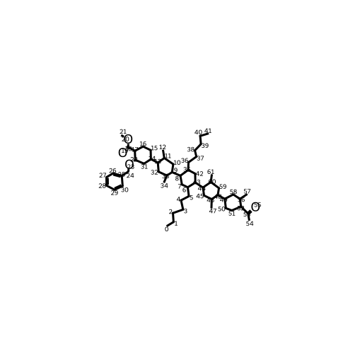 CCCCCCC1CC(C2CC(C)C(C3CCC(C(=O)OC)C(OCc4ccccc4)C3)CC2C)C(CCCCCC)CC1C1CC(C)C(C2CCC(C(C)=O)C(C)C2)CC1C